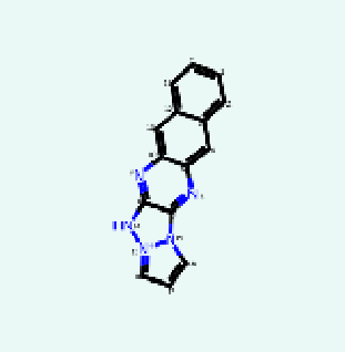 c1ccc2cc3nc4c(nc3cc2c1)[nH][n+]1cccn41